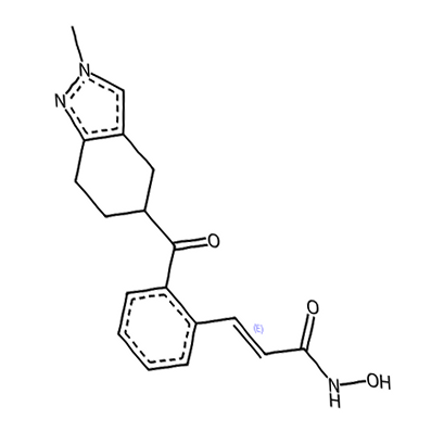 Cn1cc2c(n1)CCC(C(=O)c1ccccc1/C=C/C(=O)NO)C2